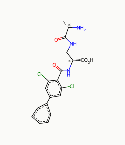 C[C@H](N)C(=O)NC[C@H](NC(=O)c1c(Cl)cc(-c2ccccc2)cc1Cl)C(=O)O